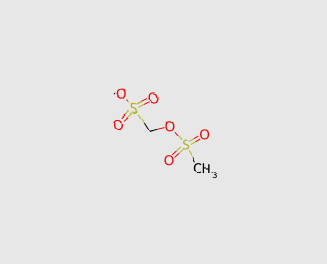 CS(=O)(=O)OCS([O])(=O)=O